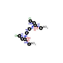 CN(c1ccc(N=Nc2c(O)c(C(=O)Nc3cccc([N+](=O)[O-])c3)cc3ccc4c5cc(Cl)ccc5[nH]c4c23)cc1)c1ccc(N=Nc2c(O)c(C(=O)Nc3cccc([N+](=O)[O-])c3)cc3ccc4c5cc(Cl)ccc5[nH]c4c23)cc1